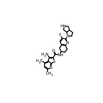 Cc1cc(C)c2c(N)c(C(=O)NC3CCc4nc(N5CCC6CNCC65)c(F)cc4C3)sc2n1